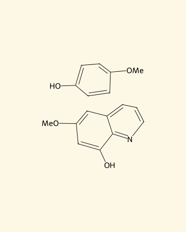 COc1cc(O)c2ncccc2c1.COc1ccc(O)cc1